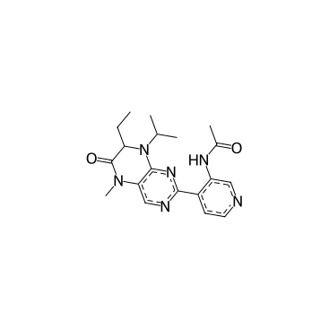 CCC1C(=O)N(C)c2cnc(-c3ccncc3NC(C)=O)nc2N1C(C)C